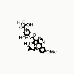 COc1ccc(OCC2CC2)c(-c2ncnc3c(C(=O)N[C@@H]4CCN(C(=O)[C@H](C)O)C[C@H]4O)c(C)[nH]c23)c1